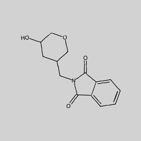 O=C1c2ccccc2C(=O)N1CC1COCC(O)C1